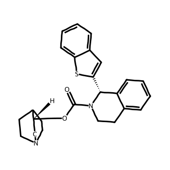 O=C(O[C@@H]1CN2CCC1CC2)N1CCc2ccccc2[C@H]1c1cc2ccccc2s1